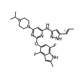 C/C=C/c1cc(Nc2cc(N3CCN(C(C)C)CC3)nc(Oc3cc(F)c4[nH]c(C)cc4c3F)n2)n[nH]1